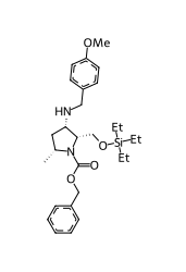 CC[Si](CC)(CC)OC[C@H]1[C@@H](NCc2ccc(OC)cc2)C[C@@H](C)N1C(=O)OCc1ccccc1